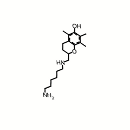 Cc1c(C)c2c(c(C)c1O)CCC(CNCCCCCCN)O2